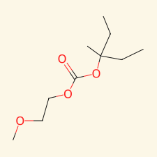 CCC(C)(CC)OC(=O)OCCOC